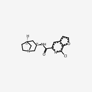 O=C(N[C@@H]1C[C@@H]2CCN(C2)C1)c1cc2ccoc2c(Cl)n1